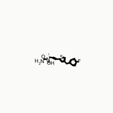 C[C@H](C#Cc1cc(Cc2ccc(F)cc2)cs1)N(O)C(N)=O